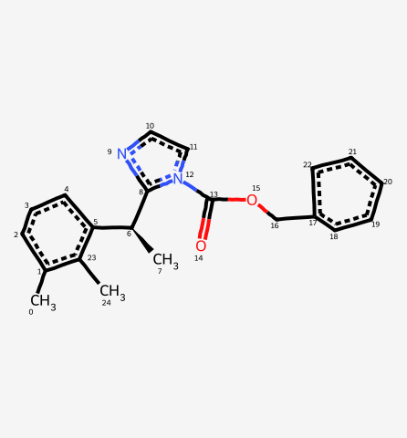 Cc1cccc([C@H](C)c2nccn2C(=O)OCc2ccccc2)c1C